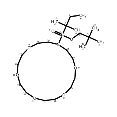 CCC(C)(C)P(=O)(OCC(C)(C)C)N1CCOCCOCCOCCOCCOCC1